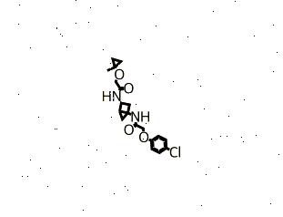 CC1(OCC(=O)N[C@@H]2CC3(NC(=O)COc4ccc(Cl)cc4)CC23)CC1